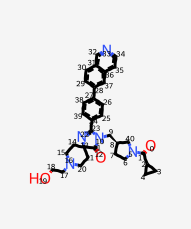 O=C(C1CC1)N1CC[C@@H](CN2C(=O)C3(CCN(CCO)CC3)N=C2c2ccc(-c3ccc4cnccc4c3)cc2)C1